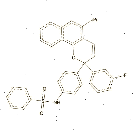 CC(C)c1cc2ccccc2c2c1C=CC(c1ccc(NS(=O)(=O)c3ccccc3)cc1)(c1cccc(F)c1)O2